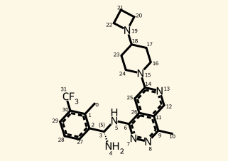 Cc1c([C@@H](N)Nc2nnc(C)c3cnc(N4CCC(N5CCC5)CC4)cc23)cccc1C(F)(F)F